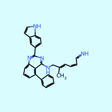 C/C(=C\C=C/C=N)CNc1nc(-c2ccc3[nH]ccc3c2)nc2cccc(-c3ccccc3)c12